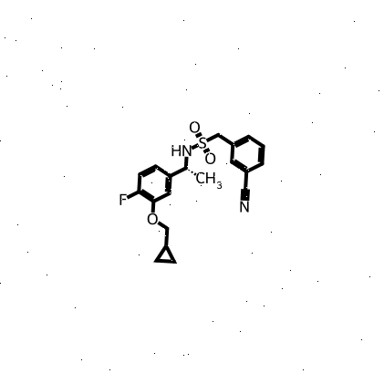 C[C@@H](NS(=O)(=O)Cc1cccc(C#N)c1)c1ccc(F)c(OCC2CC2)c1